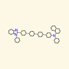 c1ccc(N(c2ccc(-c3ccc(-c4ccc(-c5ccc(-c6nc7ccccc7n6-c6ccccc6)cc5)cc4)cc3)cc2)c2cccc3ccccc23)cc1